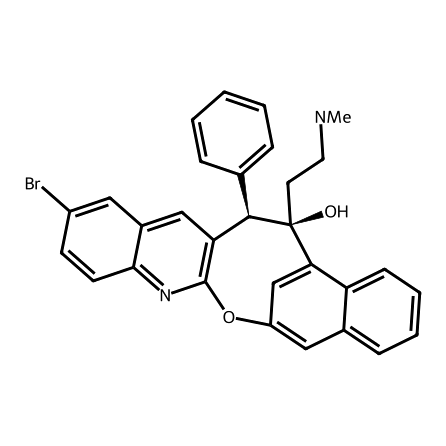 CNCC[C@]1(O)c2cc(cc3ccccc23)Oc2nc3ccc(Br)cc3cc2[C@H]1c1ccccc1